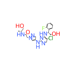 C[C@@H](CO)NC(=O)Cn1cc(Nc2ncc(Cl)c(N[C@H](CO)c3ccccc3F)n2)cn1